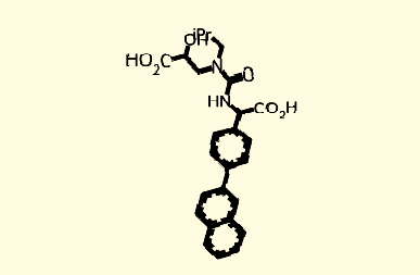 CC(C)CN(CC(O)C(=O)O)C(=O)NC(C(=O)O)c1ccc(-c2ccc3ccccc3c2)cc1